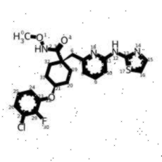 CONC(=O)[C@]1(Cc2cccc(Nc3nccs3)n2)CC[C@@H](Oc2cccc(Cl)c2F)CC1